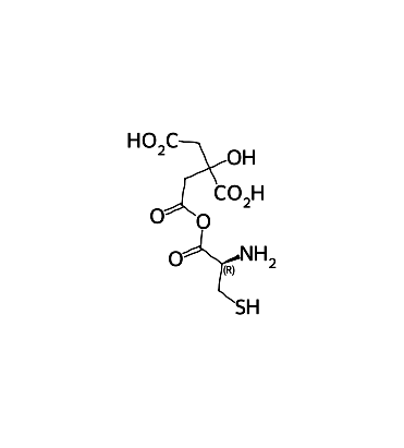 N[C@@H](CS)C(=O)OC(=O)CC(O)(CC(=O)O)C(=O)O